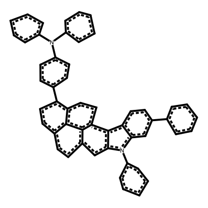 c1ccc(-c2ccc3c4c5ccc6c(-c7ccc(N(c8ccccc8)c8ccccc8)cc7)ccc7ccc(cc4n(-c4ccccc4)c3c2)c5c76)cc1